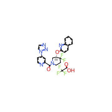 O=C(O)C(F)(F)F.O=C(c1cc(-n2ccnn2)ccn1)N1CCC(F)(F)[C@@H](Oc2ccc3ccccc3n2)C1